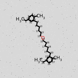 CCc1ccc(C)c(CCCCCCOCCCCCCc2cc(CC)ccc2C)c1